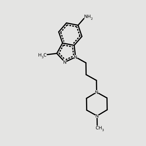 Cc1nn(CCCN2CCN(C)CC2)c2cc(N)ccc12